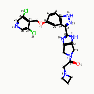 O=C(CN1CCC1)N1Cc2nc(-c3n[nH]c4ccc(OCc5c(Cl)cncc5Cl)cc34)[nH]c2C1